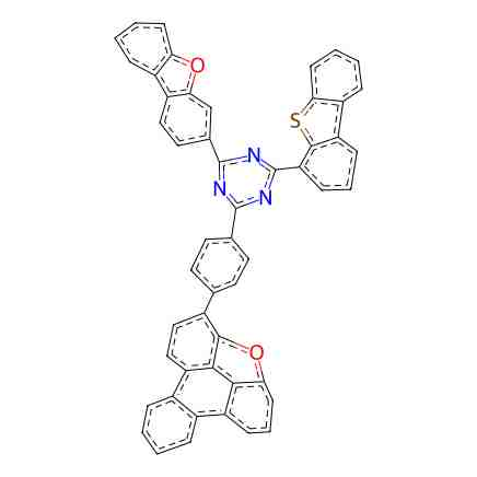 c1ccc2c(c1)oc1cc(-c3nc(-c4ccc(-c5ccc6c7ccccc7c7cccc8oc5c6c87)cc4)nc(-c4cccc5c4sc4ccccc45)n3)ccc12